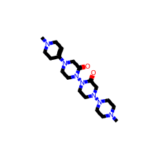 CN1CC=C(N2CCN(N3CCN(N4CCN(C)CC4)CC3=O)C(=O)C2)CC1